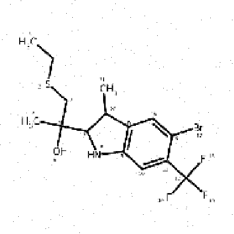 CCSCC(C)(O)C1Nc2cc(C(F)(F)F)c(Br)cc2C1C